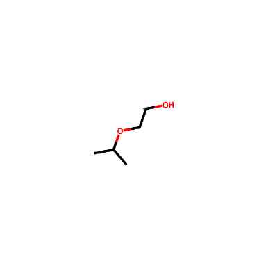 CC(C)OC[CH]O